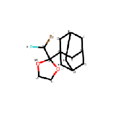 FC(Br)C1(C23CC4CC(CC(C4)C2)C3)OCCO1